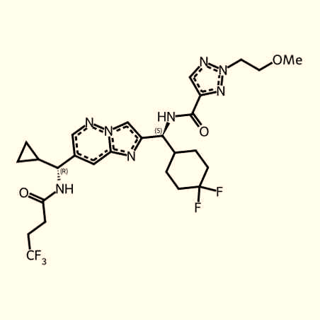 COCCn1ncc(C(=O)N[C@H](c2cn3ncc([C@H](NC(=O)CCC(F)(F)F)C4CC4)cc3n2)C2CCC(F)(F)CC2)n1